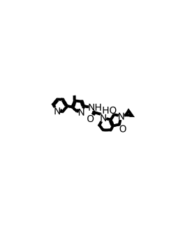 Cc1cc(NC(=O)CN2CCCC3=C2C(O)N(C2CC2)C3=O)ncc1-c1cccnc1